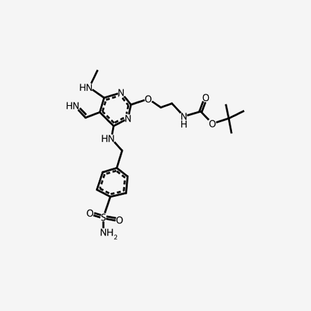 CNc1nc(OCCNC(=O)OC(C)(C)C)nc(NCc2ccc(S(N)(=O)=O)cc2)c1C=N